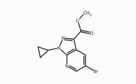 COC(=O)c1nn(C2CC2)c2ncc(Br)cc12